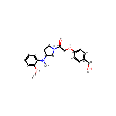 CC(=O)N(c1ccccc1OC(F)(F)F)C1CCN(C(=O)COc2ccc(CO)cc2)C1